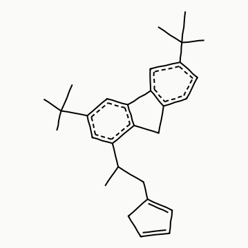 CC(CC1=CC=CC1)c1cc(C(C)(C)C)cc2c1Cc1ccc(C(C)(C)C)cc1-2